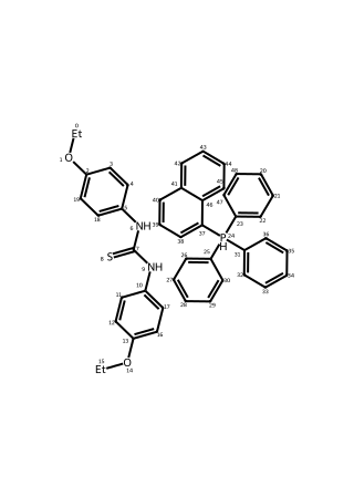 CCOc1ccc(NC(=S)Nc2ccc(OCC)cc2)cc1.c1ccc([PH](c2ccccc2)(c2ccccc2)c2cccc3ccccc23)cc1